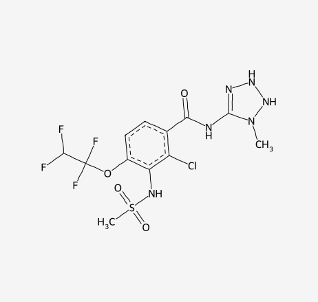 CN1NNN=C1NC(=O)c1ccc(OC(F)(F)C(F)F)c(NS(C)(=O)=O)c1Cl